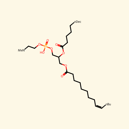 CCCC/C=C\CCCCCCCC(=O)OCC(COP(=O)(O)OCCNC)OC(=O)CCCCCCCCCCCCCC